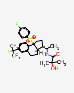 CC(NC(=O)C(C)(C)O)[C@@H]1CC[C@@]2(S(=O)(=O)c3ccc(F)cc3)c3ccc(C(F)(C(F)(F)F)C(F)(F)F)cc3CC[C@@H]12